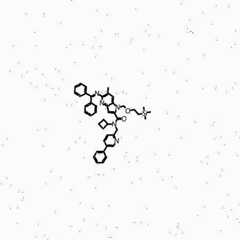 Cc1cc2c(cc(C(=O)N(Cc3ccc(-c4ccccc4)cn3)C3CCC3)n2COCC[Si](C)(C)C)nc1N=C(c1ccccc1)c1ccccc1